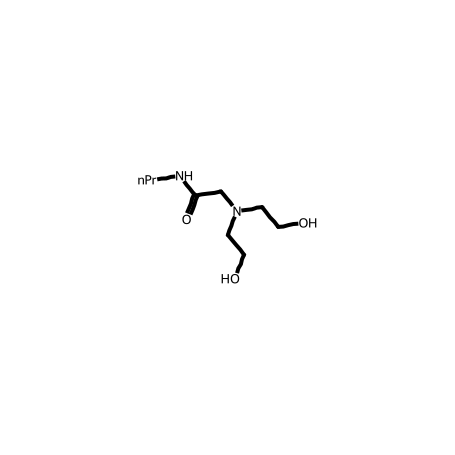 CCCNC(=O)CN(CCO)CCO